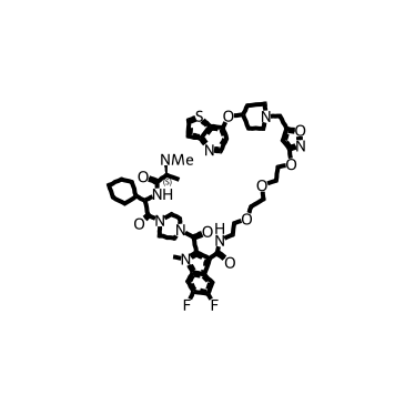 CN[C@@H](C)C(=O)NC(C(=O)N1CCN(C(=O)c2c(C(=O)NCCOCCOCCOc3cc(CN4CCC(Oc5ccnc6ccsc56)CC4)on3)c3cc(F)c(F)cc3n2C)CC1)C1CCCCC1